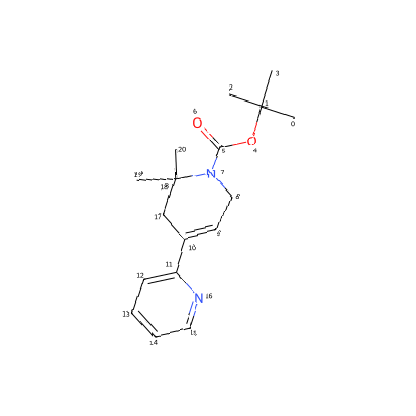 CC(C)(C)OC(=O)N1CC=C(c2ccccn2)CC1(C)C